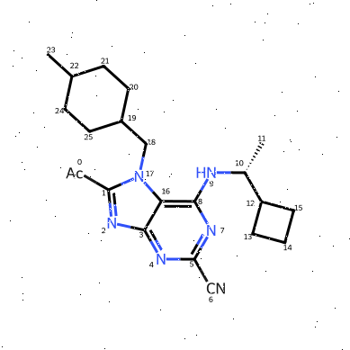 CC(=O)c1nc2nc(C#N)nc(N[C@H](C)C3CCC3)c2n1CC1CCC(C)CC1